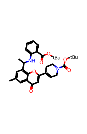 Cc1cc(C(C)Nc2ccccc2C(=O)OC(C)(C)C)c2oc(C3=CCN(C(=O)OC(C)(C)C)CC3)cc(=O)c2c1